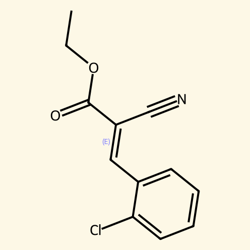 CCOC(=O)/C(C#N)=C/c1ccccc1Cl